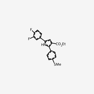 CCOC(=O)c1cc(-c2ccc(F)c(F)c2)[nH]c1-c1ccc(SC)cc1